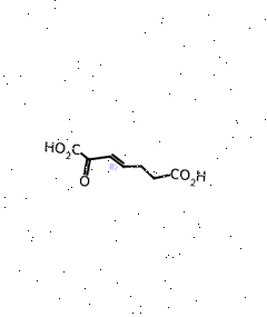 O=C(O)CC/C=C/C(=O)C(=O)O